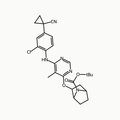 Cc1c(Nc2ccc(C3(C#N)CC3)cc2Cl)ncnc1OC1CC2CCC1N2C(=O)OC(C)(C)C